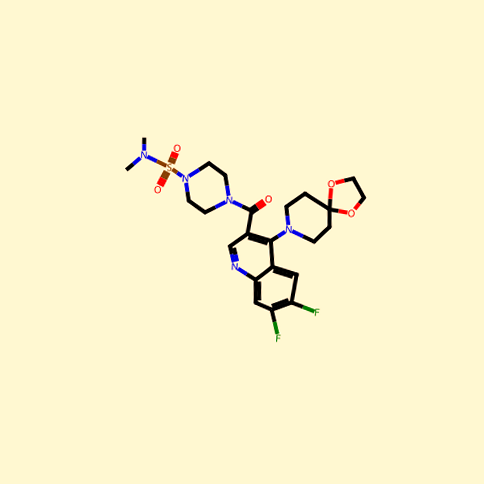 CN(C)S(=O)(=O)N1CCN(C(=O)c2cnc3cc(F)c(F)cc3c2N2CCC3(CC2)OCCO3)CC1